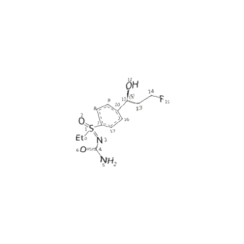 CCS(=O)(=NC(N)=O)c1ccc([C@@H](O)CCF)cc1